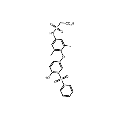 Cc1cc(NS(=O)(=O)CC(=O)O)cc(C)c1Oc1ccc(O)c(S(=O)(=O)c2ccccc2)c1